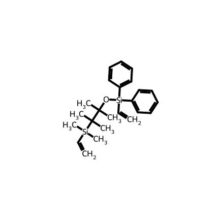 C=C[Si](OC(C)(C)C(C)(C)[Si](C)(C)C=C)(c1ccccc1)c1ccccc1